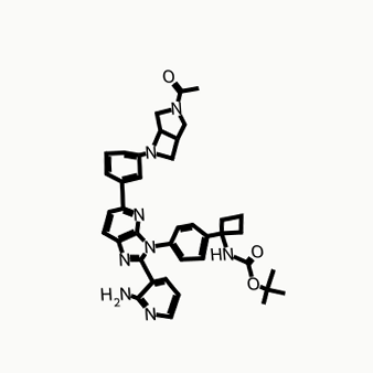 CC(=O)N1CC2CN(c3cccc(-c4ccc5nc(-c6cccnc6N)n(-c6ccc(C7(NC(=O)OC(C)(C)C)CCC7)cc6)c5n4)c3)C2C1